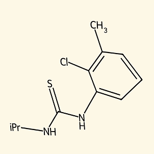 Cc1cccc(NC(=S)NC(C)C)c1Cl